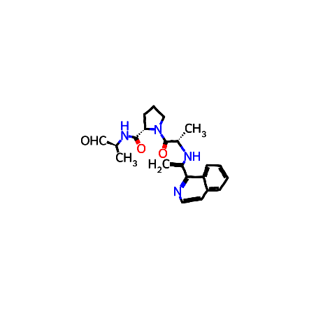 C=C(N[C@@H](C)C(=O)N1CCC[C@H]1C(=O)N[C@@H](C)C=O)c1nccc2ccccc12